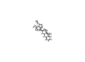 COC(=O)c1c(C#N)csc1NC(=O)CC1Cc2ccccc2NC1=O